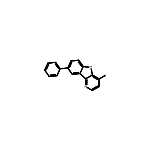 Ic1ccnc2c1oc1ccc(-c3ccccc3)cc12